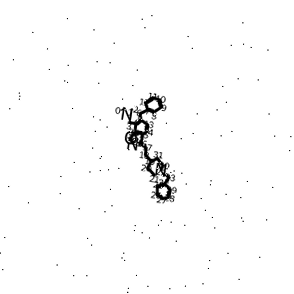 CN(C)Cc1c(Cc2ccccc2)ccc2c(CCC3CCN(Cc4ccccc4)CC3)noc12